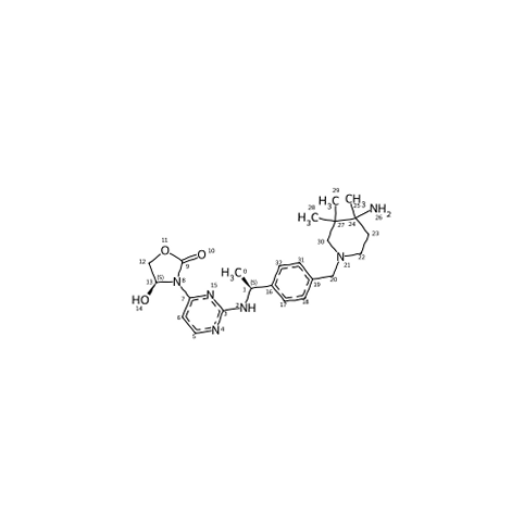 C[C@H](Nc1nccc(N2C(=O)OC[C@@H]2O)n1)c1ccc(CN2CCC(C)(N)C(C)(C)C2)cc1